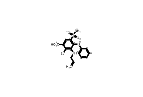 C=CCNc1c(CC)c(C(=O)O)cc(S(N)(=O)=O)c1Oc1ccccc1